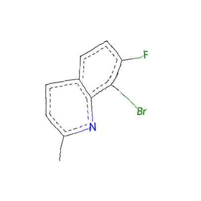 Cc1ccc2ccc(F)c(Br)c2n1